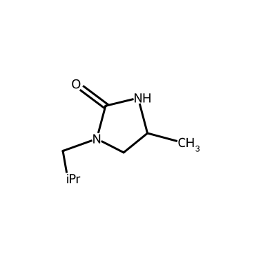 CC(C)CN1CC(C)NC1=O